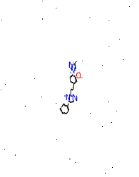 COc1cc(C=Cc2ncc(-c3ccccc3)n2C)ccc1-n1cnc(C)c1